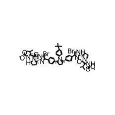 COC(=O)N[C@H](C(=O)N1CCC[C@H]1c1nc(-c2ccc([C@@H]3CC[C@@H](c4ccc(-c5nc([C@@H]6CCCN6C(=O)[C@@H](NC(=O)OC)C(C)C)[nH]c5Br)cc4)N3c3ccc(C(C)(C)C)cc3)cc2)c(Br)[nH]1)C(C)C